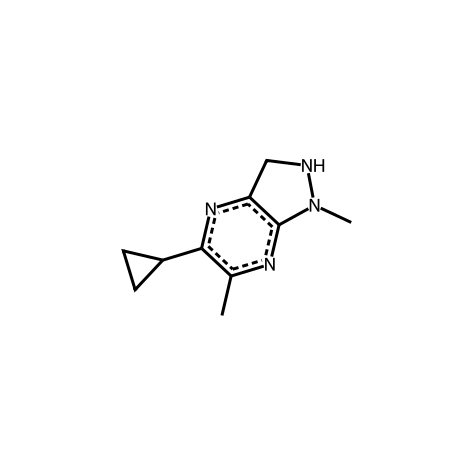 Cc1nc2c(nc1C1CC1)CNN2C